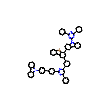 c1ccc(-c2cc(-c3cccc(-c4cc(-c5ccc6c(c5)c5ccccc5n6-c5nc(-c6ccccc6)nc(-c6ccccc6)n5)c5sc6ccccc6c5c4)c3)nc(-c3ccc(-c4ccc(-n5c6ccccc6c6ccccc65)cc4)cc3)n2)cc1